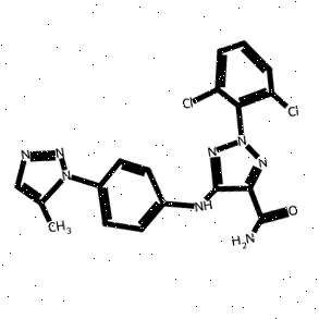 Cc1cnnn1-c1ccc(Nc2nn(-c3c(Cl)cccc3Cl)nc2C(N)=O)cc1